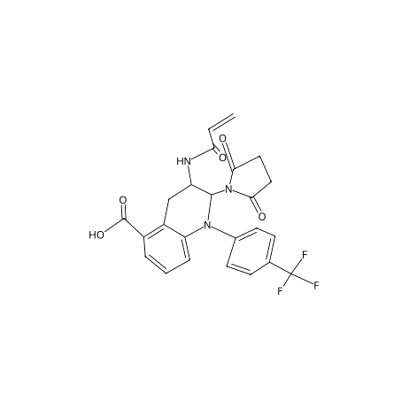 C=CC(=O)NC1Cc2c(C(=O)O)cccc2N(c2ccc(C(F)(F)F)cc2)C1N1C(=O)CCC1=O